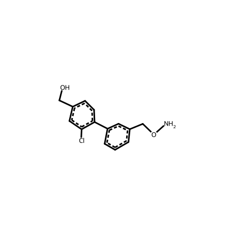 NOCc1cccc(-c2ccc(CO)cc2Cl)c1